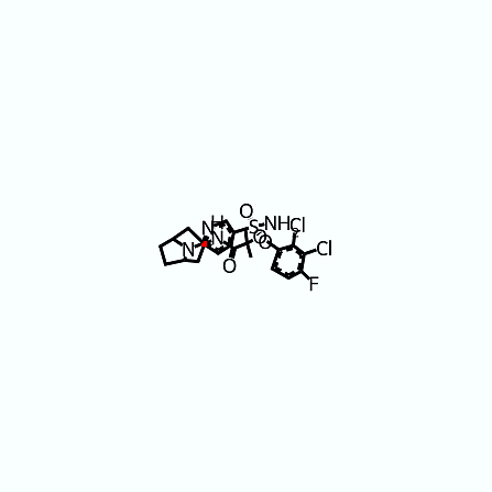 CC(C)(Oc1ccc(F)c(Cl)c1Cl)C(=O)NC1CC2CCC(C1)N2c1ccc(S(N)(=O)=O)cn1